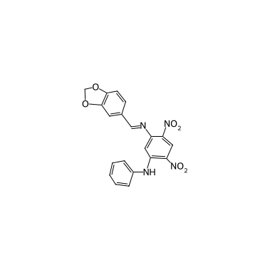 O=[N+]([O-])c1cc([N+](=O)[O-])c(Nc2ccccc2)cc1/N=C/c1ccc2c(c1)OCO2